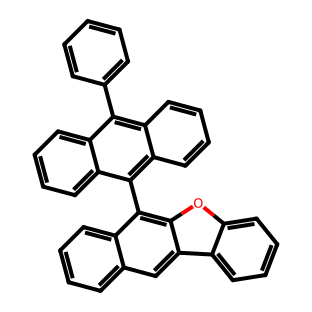 c1ccc(-c2c3ccccc3c(-c3c4ccccc4cc4c3oc3ccccc34)c3ccccc23)cc1